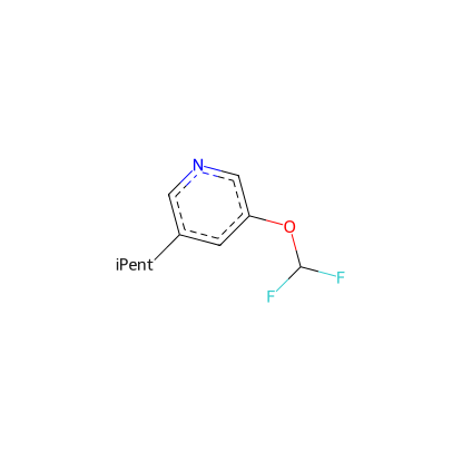 CCCC(C)c1cncc(OC(F)F)c1